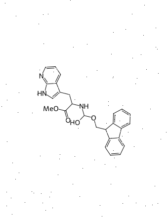 COC(=O)C(Cc1c[nH]c2ncccc12)NC(O)OCC1c2ccccc2-c2ccccc21